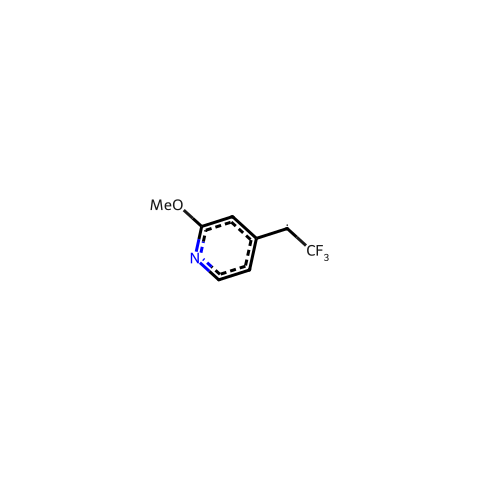 COc1cc([CH]C(F)(F)F)ccn1